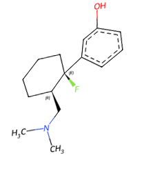 CN(C)C[C@H]1CCCC[C@]1(F)c1cccc(O)c1